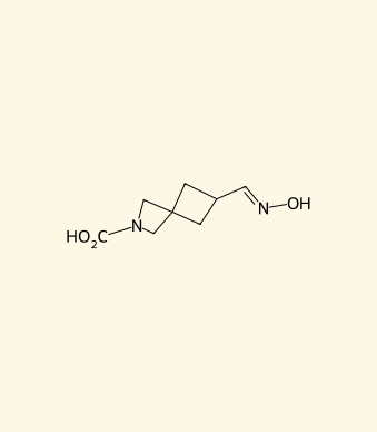 O=C(O)N1CC2(CC(/C=N/O)C2)C1